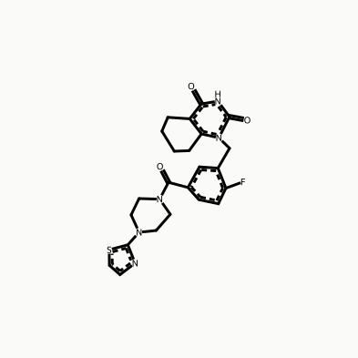 O=C(c1ccc(F)c(Cn2c3c(c(=O)[nH]c2=O)CCCC3)c1)N1CCN(c2nccs2)CC1